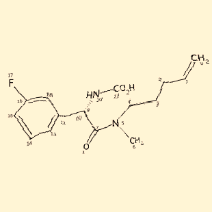 C=CCCCN(C)C(=O)[C@@H](NC(=O)O)c1cccc(F)c1